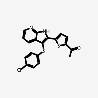 CC(=O)c1ccc(-c2[nH]c3ncccc3c2Sc2ccc(Cl)cc2)s1